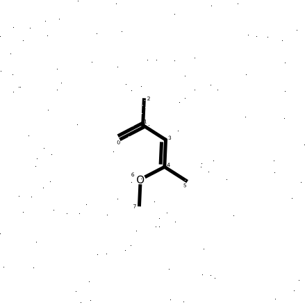 C=C(C)/C=C(/C)OC